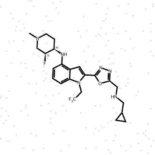 CN1CC[C@@H](Nc2cccc3c2cc(-c2nnc(CNCC4CC4)o2)n3CC(F)(F)F)[C@@H](F)C1